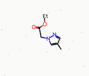 CCOC(=O)Cn1cc(C)cn1